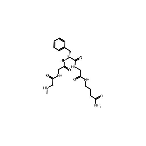 CNCC(=O)NCC(=O)N[C@@H](Cc1ccccc1)C(=O)NCC(=O)NCCCC(N)=O